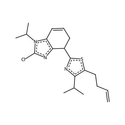 C=CCCc1sc(C2CC=Cc3c2nc(Cl)n3C(C)C)nc1C(C)C